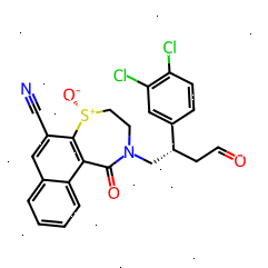 N#Cc1cc2ccccc2c2c1[S@+]([O-])CCN(C[C@@H](CC=O)c1ccc(Cl)c(Cl)c1)C2=O